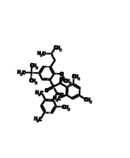 COc1c(CC(C)C)cc(C(C)(C)C)cc1P(=O)(C(=O)c1c(C)cc(C)cc1C)C(=O)c1c(C)cc(C)cc1C